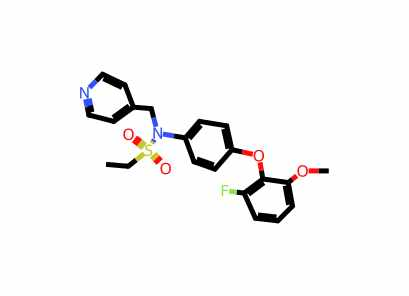 CCS(=O)(=O)N(Cc1ccncc1)c1ccc(Oc2c(F)cccc2OC)cc1